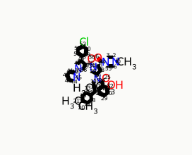 CN1CCN(C(=O)[C@@H]2C[C@H](N(CC(C)(C)CC3CCC(C)(C)CC3)C(=O)c3ccccc3O)CN2C(=O)[C@@H]2CN(c3ccccn3)C[C@H]2c2ccc(Cl)cc2)CC1